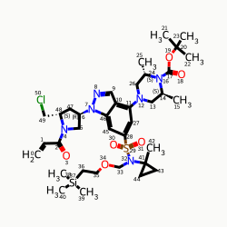 C=CC(=O)N1C[C@H](n2ncc3c(N4C[C@H](C)N(C(=O)OC(C)(C)C)[C@@H](C)C4)cc(S(=O)(=O)N(COCC[Si](C)(C)C)C4(C)CC4)cc32)C[C@H]1CCl